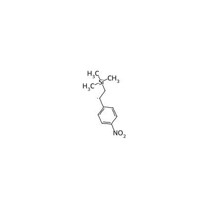 C[Si](C)(C)C[CH]c1ccc([N+](=O)[O-])cc1